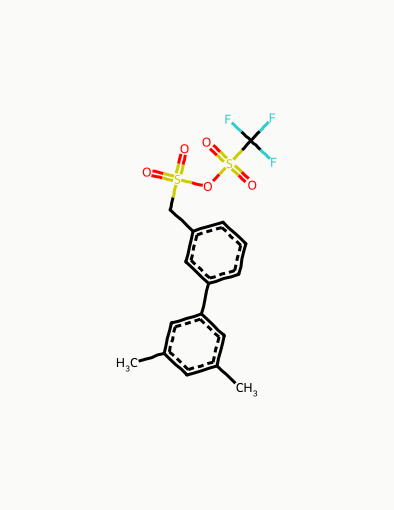 Cc1cc(C)cc(-c2cccc(CS(=O)(=O)OS(=O)(=O)C(F)(F)F)c2)c1